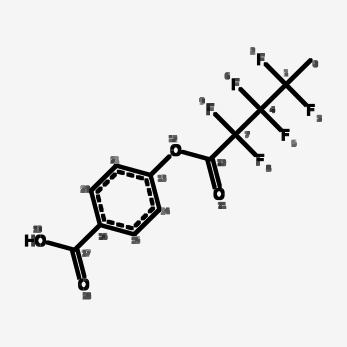 CC(F)(F)C(F)(F)C(F)(F)C(=O)Oc1ccc(C(=O)O)cc1